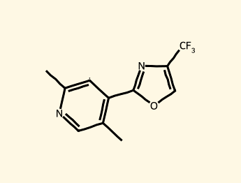 Cc1[c]c(-c2nc(C(F)(F)F)co2)c(C)cn1